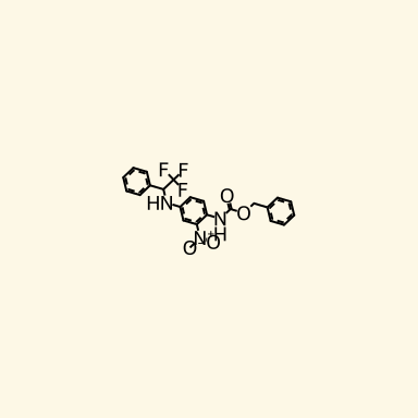 O=C(Nc1ccc(NC(c2ccccc2)C(F)(F)F)cc1[N+](=O)[O-])OCc1ccccc1